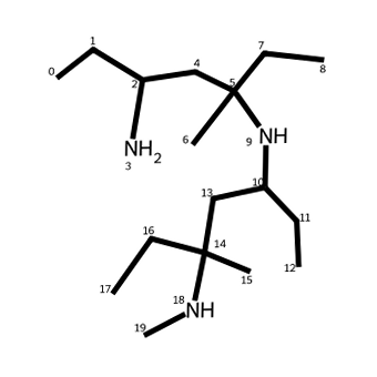 CCC(N)CC(C)(CC)NC(CC)CC(C)(CC)NC